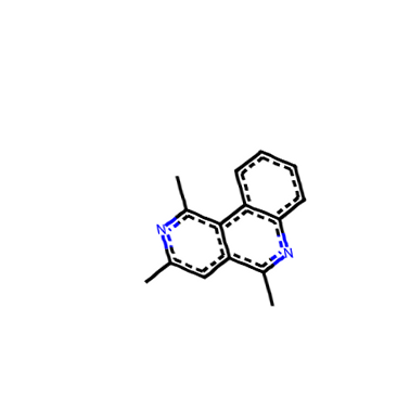 Cc1cc2c(C)nc3ccccc3c2c(C)n1